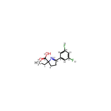 CCC1(C(=O)O)CCC(c2cc(F)cc(F)c2)=N1